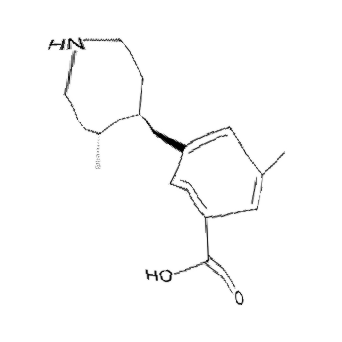 Cc1cc(C(=O)O)cc([C@@H]2CCNC[C@H]2C)c1